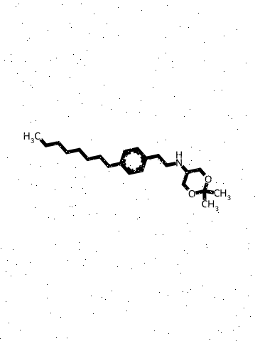 CCCCCCCCc1ccc(CCNC2COC(C)(C)OC2)cc1